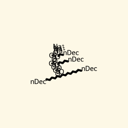 CCCCCCCCCCCCCCCCCC(CCCCCCCCCCCCCCCC)OS(=O)(=O)[O-].CCCCCCCCCCCCCCOS(=O)(=O)[O-].CCCCCCCCCCCCOS(=O)(=O)[O-].[Na+].[Na+].[Na+]